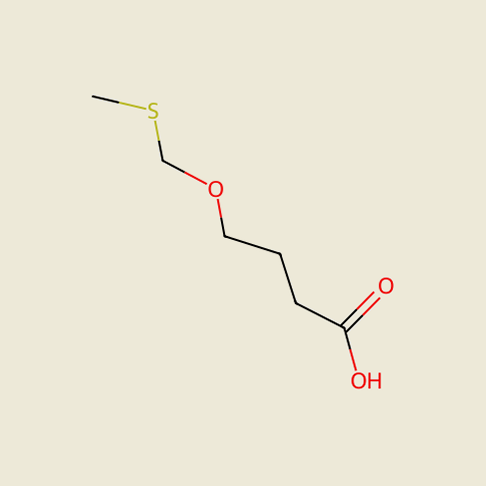 CSCOCCCC(=O)O